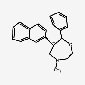 CN1CCOC(c2ccccc2)[C@H](c2ccc3ccccc3c2)C1